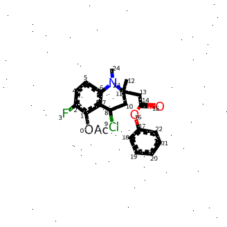 CC(=O)Oc1c(F)ccc2c1C(Cl)CC(C)(CC(=O)Oc1ccccc1)N2C